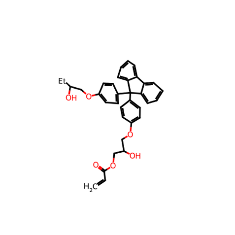 C=CC(=O)OCC(O)COc1ccc(C2(c3ccc(OCC(O)CC)cc3)c3ccccc3-c3ccccc32)cc1